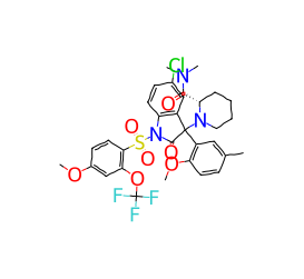 COc1ccc(S(=O)(=O)N2C(=O)C(c3cc(C)ccc3OC)(N3CCCC[C@H]3C(=O)N(C)C)c3cc(Cl)ccc32)c(OC(F)(F)F)c1